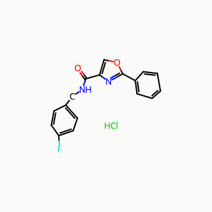 Cl.O=C(NCc1ccc(F)cc1)c1coc(-c2ccccc2)n1